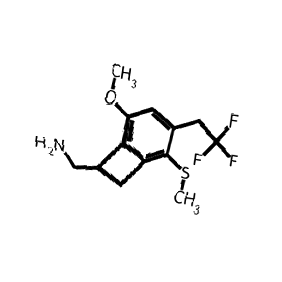 COc1cc(CC(F)(F)F)c(SC)c2c1C(CN)C2